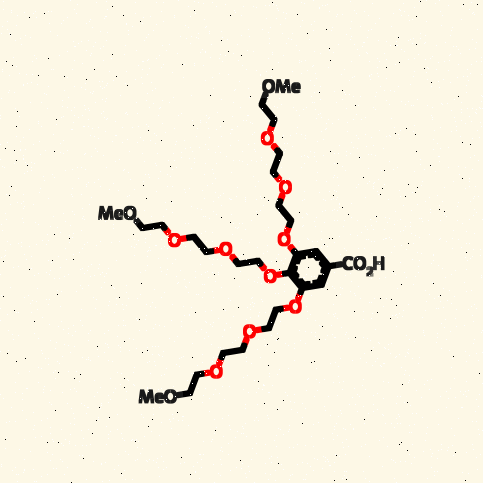 COCCOCCOCCOc1cc(C(=O)O)cc(OCCOCCOCCOC)c1OCCOCCOCCOC